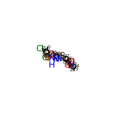 Cc1cc(S(=O)(=O)Nc2nnc(Sc3ccc(S(=O)(=O)N4CCCCC4)cc3)cc2C)c(Cl)cc1Cl